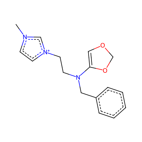 Cn1cc[n+](CCN(Cc2ccccc2)C2=COCO2)c1